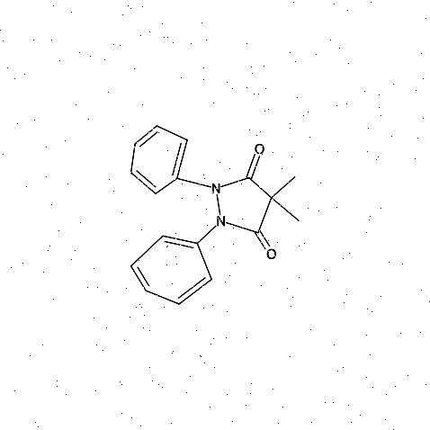 CC1(C)C(=O)N(c2ccccc2)N(c2ccccc2)C1=O